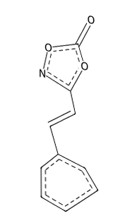 O=c1onc(/C=C/c2ccccc2)o1